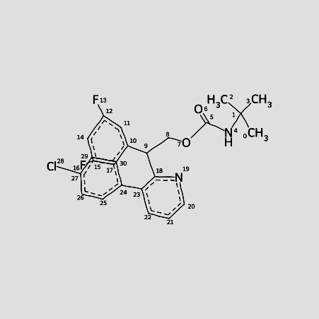 CC(C)(C)NC(=O)OCC(c1cc(F)cc(F)c1)c1ncccc1-c1ccc(Cl)cc1